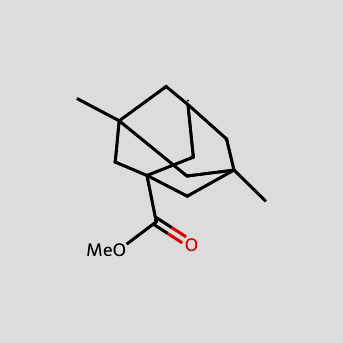 COC(=O)C12C[C]3CC(C)(CC(C)(C3)C1)C2